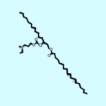 CCCCC/C=C/C/C=C/CCCCCCCC(=O)OCCC(CCCCCCCCCCCC)OC(=O)OCCCN(C)CC